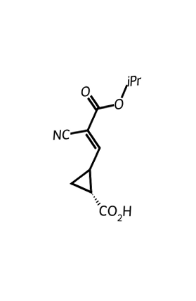 CC(C)OC(=O)/C(C#N)=C/C1C[C@H]1C(=O)O